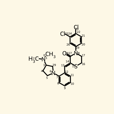 CN(C)C1CCN(c2ccccc2C=C2SCCN(c3ccc(Cl)c(Cl)c3)C2=O)C1